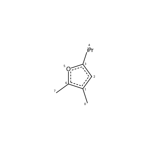 Cc1cc(C(C)C)oc1C